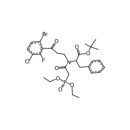 CCOP(=O)(CC(=O)N(CCC(=O)c1c(Br)ccc(Cl)c1F)C(Cc1ccccc1)C(=O)OC(C)(C)C)OCC